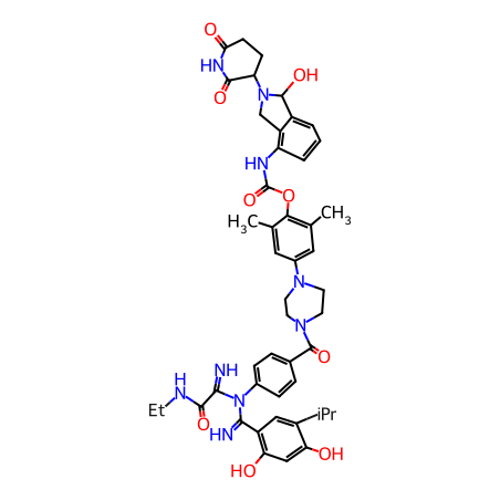 CCNC(=O)C(=N)N(C(=N)c1cc(C(C)C)c(O)cc1O)c1ccc(C(=O)N2CCN(c3cc(C)c(OC(=O)Nc4cccc5c4CN(C4CCC(=O)NC4=O)C5O)c(C)c3)CC2)cc1